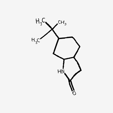 CC(C)(C)C1CCC2CC(=O)NC2C1